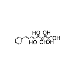 OC[C@@H](O)[C@@H](O)[C@H](O)[C@@H](O)C(O)=CC=Cc1ccccc1